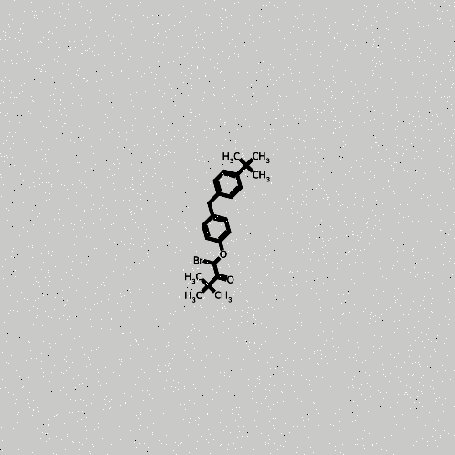 CC(C)(C)C(=O)C(Br)Oc1ccc(Cc2ccc(C(C)(C)C)cc2)cc1